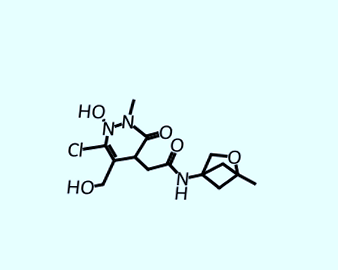 CN1C(=O)C(CC(=O)NC23COC(C)(C2)C3)C(CO)=C(Cl)N1O